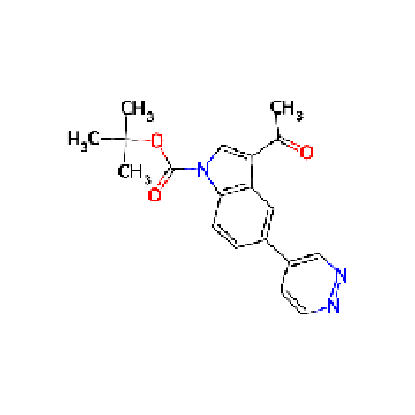 CC(=O)c1cn(C(=O)OC(C)(C)C)c2ccc(-c3ccnnc3)cc12